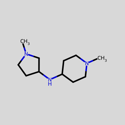 CN1CCC(NC2CCN(C)C2)CC1